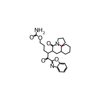 NC(=O)OCCCC(C(=O)c1nc2ccccc2o1)C(CC1CCCCC1)C(=O)N1CCCC1